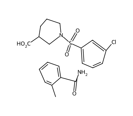 Cc1ccccc1C(N)=O.O=C(O)C1CCCN(S(=O)(=O)c2cccc(Cl)c2)C1